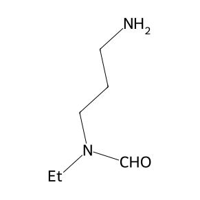 CCN(C=O)CCCN